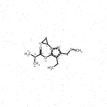 CCc1c(CSC)nn(C2CC2)c1OC(=O)N(C)C